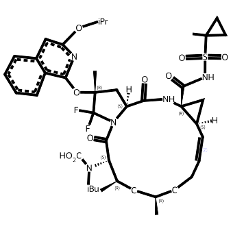 CCC(C)N(C(=O)O)[C@@H]1C(=O)N2[C@@H](C[C@@](C)(Oc3nc(OC(C)C)cc4ccccc34)C2(F)F)C(=O)N[C@]2(C(=O)NS(=O)(=O)C3(C)CC3)C[C@H]2/C=C\CC[C@@H](C)C[C@H]1C